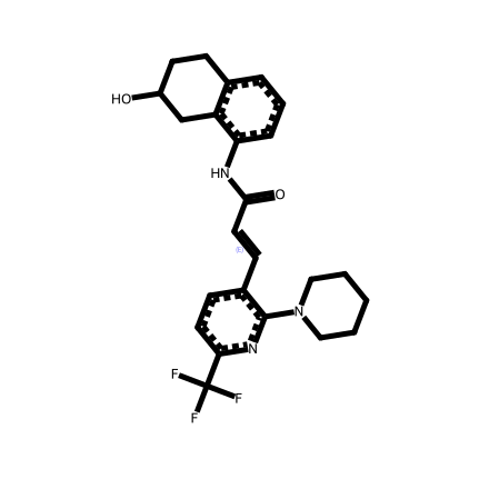 O=C(/C=C/c1ccc(C(F)(F)F)nc1N1CCCCC1)Nc1cccc2c1CC(O)CC2